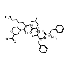 CC(C)C[C@@H](NC(=O)[C@@H](Cc1ccccc1)NC(=O)[C@H](N)Cc1ccccc1)C(=O)N[C@H](CCCCN)C(=O)N1CCOC(C(=O)O)C1